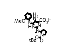 COc1ccccc1Nc1nc(N(C)C2CCCN2C(=O)OC(C)(C)C)nc(C(=O)O)c1N